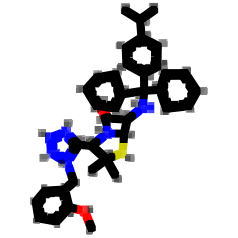 COc1ccccc1Cn1nnnc1C1N2C(=O)C(NC(c3ccccc3)(c3ccccc3)c3ccc(C(C)C)cc3)C2SC1(C)C